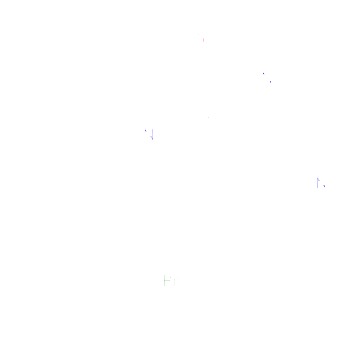 CCC(CC)N1CC2(C1)C(=O)N(C)c1cnc3cc(F)c(Br)cc3c12